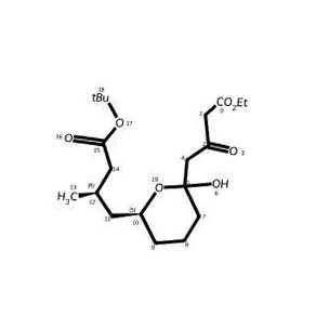 CCOC(=O)CC(=O)CC1(O)CCC[C@@H](C[C@@H](C)CC(=O)OC(C)(C)C)O1